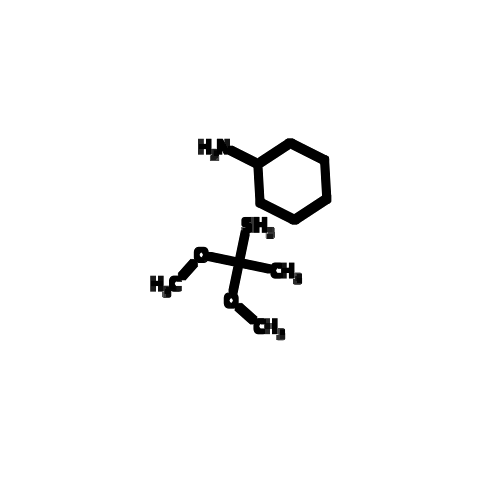 COC(C)([SiH3])OC.NC1CCCCC1